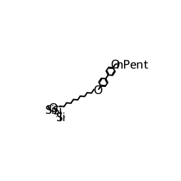 CCCCCOc1ccc(-c2ccc(OCCCCCCCCCCC[Si](C)(C[Si](C)(C)C)O[Si](C)(C)C)cc2)cc1